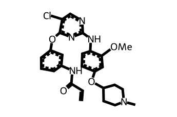 C=CC(=O)Nc1cccc(Oc2nc(Nc3ccc(OC4CCN(C)CC4)cc3OC)ncc2Cl)c1